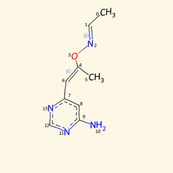 C/C=N/O/C(C)=C/c1cc(N)ncn1